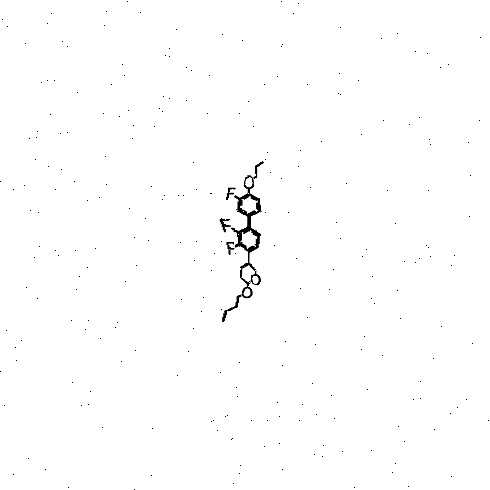 CCCCOC1CCC(c2ccc(-c3ccc(OCCC)c(F)c3)c(F)c2F)CO1